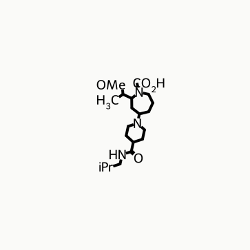 COC(C)C1CC(N2CCC(C(=O)NCC(C)C)CC2)CCCN1C(=O)O